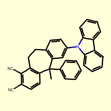 CC1(c2ccccc2)c2cc(-n3c4ccccc4c4ccccc43)ccc2CCc2c1ccc(C#N)c2C#N